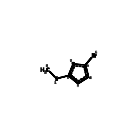 CSc1ccc(Br)s1